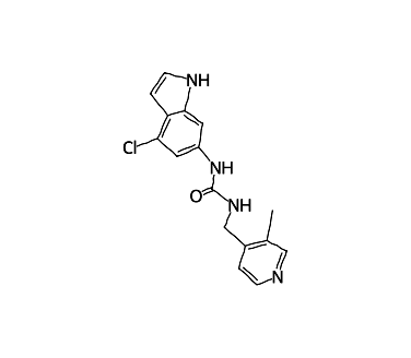 Cc1cnccc1CNC(=O)Nc1cc(Cl)c2cc[nH]c2c1